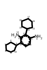 Nc1ccc(C2CCCCC2)c(N)c1C1CCCCC1